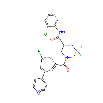 O=C(Nc1ccccc1Cl)C1CN(C(=O)c2cc(F)cc(-c3ccncc3)c2)CC(F)(F)C1